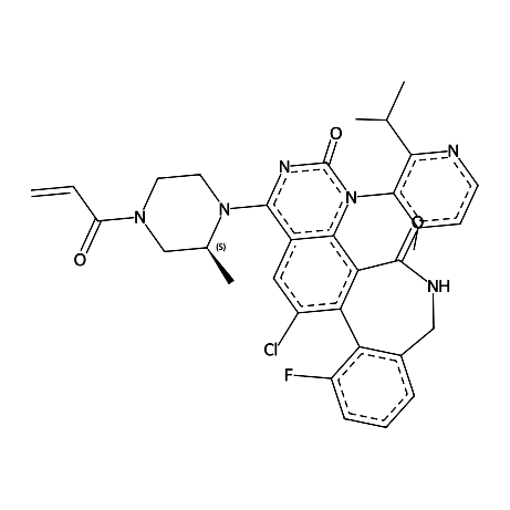 C=CC(=O)N1CCN(c2nc(=O)n(-c3c(C)ccnc3C(C)C)c3c4c(c(Cl)cc23)-c2c(F)cccc2CNC4=O)[C@@H](C)C1